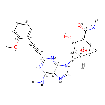 CNC(=O)[C@H]1C2CC2[C@H]2C(n3cnc4c(NC)nc(C#Cc5ccccc5OC)nc43)[C@@]2(O)[C@@H]1O